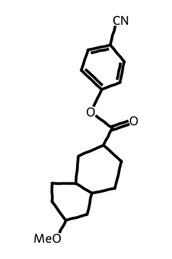 COC1CCC2CC(C(=O)Oc3ccc(C#N)cc3)CCC2C1